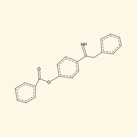 N=C(Cc1ccccc1)c1ccc(OC(=O)c2ccccc2)cc1